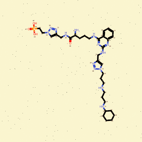 NC(CCCNc1nc(NCc2cn(CCCNCCCNC3CCCCC3)nn2)nc2ccccc12)C(=O)NCc1cn(CCP(=O)(O)O)nn1